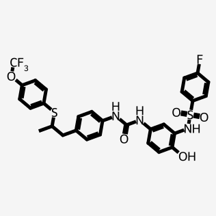 CC(Cc1ccc(NC(=O)Nc2ccc(O)c(NS(=O)(=O)c3ccc(F)cc3)c2)cc1)Sc1ccc(OC(F)(F)F)cc1